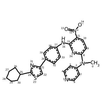 CN(c1ccncc1)c1ccc([N+](=O)[O-])c(Nc2ccc(-c3csc(C4CCCCC4)n3)cc2)n1